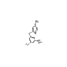 CC(C)(C)Nc1cc(C(F)(F)F)cc(Cc2cn(C(C)(C)C)nn2)n1